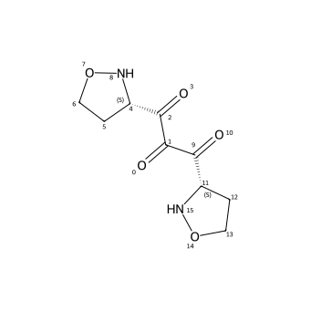 O=C(C(=O)[C@@H]1CCON1)C(=O)[C@@H]1CCON1